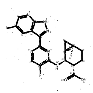 Cc1cnc2[nH]nc(-c3ncc(F)c(N[C@H]4[C@H]5C[C@H]5CC[C@@H]4C(=O)O)n3)c2c1